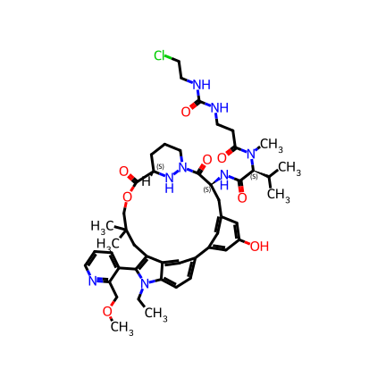 CCn1c(-c2cccnc2COC)c2c3cc(ccc31)-c1cc(O)cc(c1)C[C@H](NC(=O)[C@H](C(C)C)N(C)C(=O)CCNC(=O)NCCCl)C(=O)N1CCC[C@H](N1)C(=O)OCC(C)(C)C2